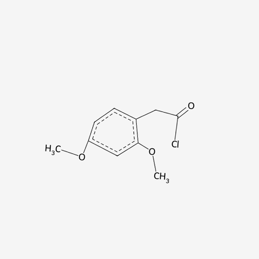 COc1ccc(CC(=O)Cl)c(OC)c1